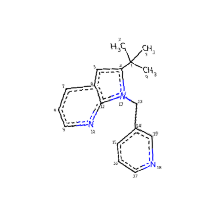 CC(C)(C)c1cc2cccnc2n1Cc1cccnc1